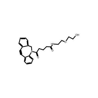 O=C(CCCC(=O)N1Cc2ccccc2C#Cc2ccccc21)NCCOCCO